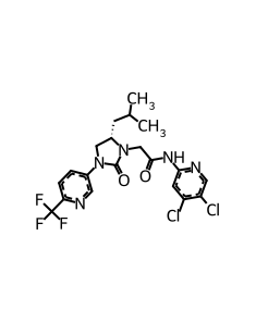 CC(C)C[C@H]1CN(c2ccc(C(F)(F)F)nc2)C(=O)N1CC(=O)Nc1cc(Cl)c(Cl)cn1